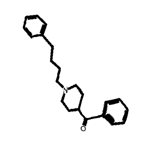 O=C(c1ccccc1)C1CCN(CCCCc2ccccc2)CC1